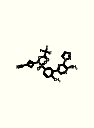 Cc1ccc(S(=O)(=O)N(OC(=O)C(F)(F)F)C23CC(C#N)(C2)C3)cc1-c1cnc(N)c(-n2ccnn2)n1